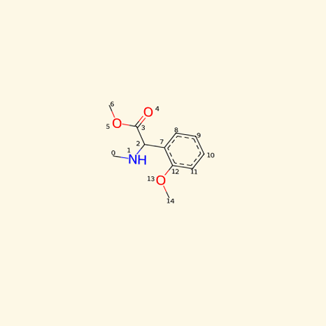 CNC(C(=O)OC)c1ccccc1OC